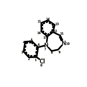 Clc1ccccc1N1CCN=Cc2ccccc21